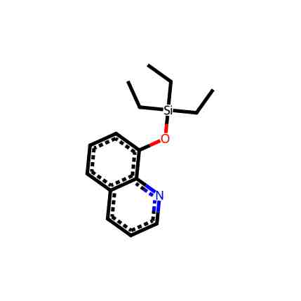 CC[Si](CC)(CC)Oc1cccc2cccnc12